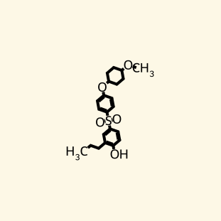 CCCc1cc(S(=O)(=O)c2ccc(OC3CCC(OC)CC3)cc2)ccc1O